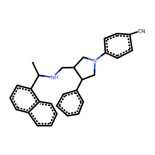 CC(NCC1CN(c2ccc(C#N)cc2)CC1c1ccccc1)c1cccc2ccccc12